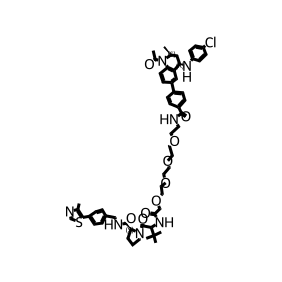 CC(=O)N1c2ccc(-c3ccc(C(=O)NCCOCCOCCOCCOCC(=O)NC(C(=O)N4CCC[C@H]4C(=O)NCc4ccc(-c5scnc5C)cc4)C(C)(C)C)cc3)cc2[C@H](Nc2ccc(Cl)cc2)C[C@@H]1C